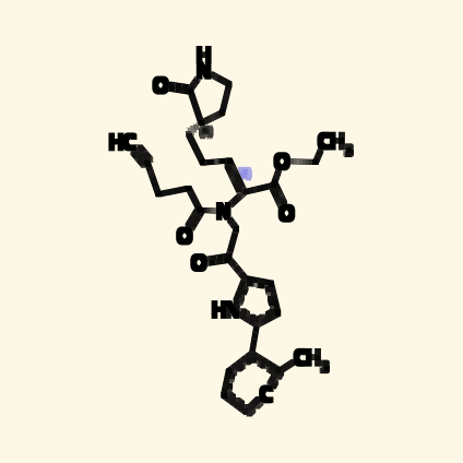 C#CCCC(=O)N(CC(=O)c1ccc(-c2ccccc2C)[nH]1)/C(=C\CC[C@H]1CCNC1=O)C(=O)OCC